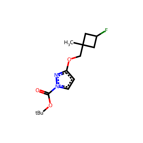 CC1(COc2ccn(C(=O)OC(C)(C)C)n2)CC(F)C1